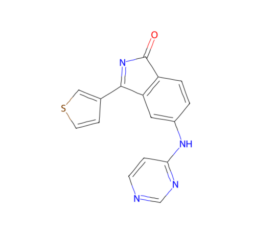 O=C1N=C(c2ccsc2)c2cc(Nc3ccncn3)ccc21